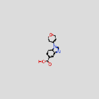 O=C(O)c1ccc2c(c1)ncn2C1=CCOCC1